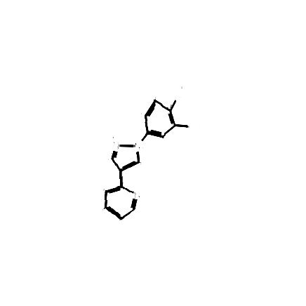 Cc1cc(-n2cc(-c3ccccn3)cn2)ccc1Br